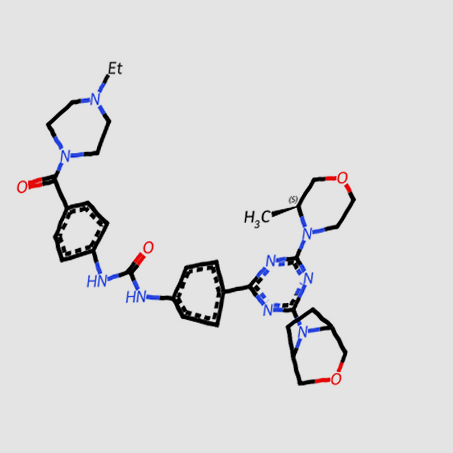 CCN1CCN(C(=O)c2ccc(NC(=O)Nc3ccc(-c4nc(N5C6CCC5COC6)nc(N5CCOC[C@@H]5C)n4)cc3)cc2)CC1